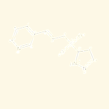 O=S(=O)(CC=Cc1cccnc1)C1CC=NN1